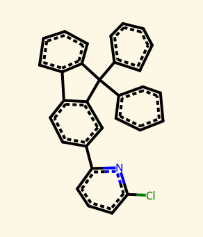 Clc1cccc(-c2ccc3c(c2)C(c2ccccc2)(c2ccccc2)c2ccccc2-3)n1